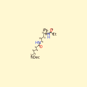 CCCCCCCCCCCCCCCC(=O)NCCCC[C@H](NC(=O)CC)C(C)C